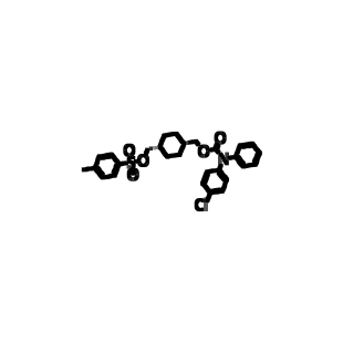 Cc1ccc(S(=O)(=O)OC[C@H]2CC[C@H](COC(=O)N(c3ccccc3)c3ccc(Cl)cc3)CC2)cc1